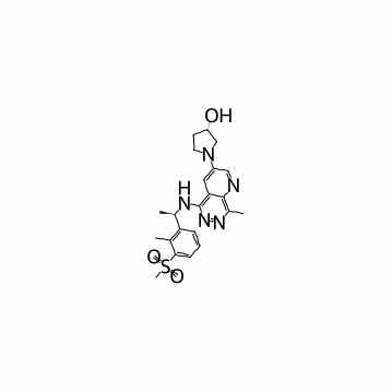 Cc1c([C@@H](C)Nc2nnc(C)c3ncc(N4CC[C@H](O)C4)cc23)cccc1S(C)(=O)=O